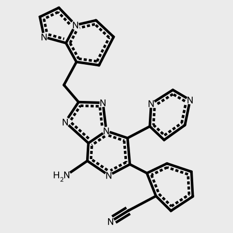 N#Cc1ccccc1-c1nc(N)c2nc(Cc3cccn4ccnc34)nn2c1-c1ccncn1